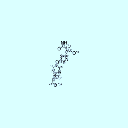 COC12CC(C(N)=O)(C1)C2c1ncc(Oc2cnc(N3C4CCC3COC4)nc2)s1